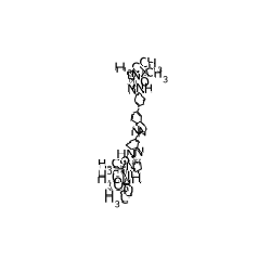 COC(=O)N[C@H](C(=O)N1CCC[C@H]1c1nc2cc(-c3ncc4cc(-c5ccc6[nH]c([C@@H]7CCCN7C(=O)[C@@H](C)C(C)C)nc6c5)ccc4n3)ccc2[nH]1)C(C)C